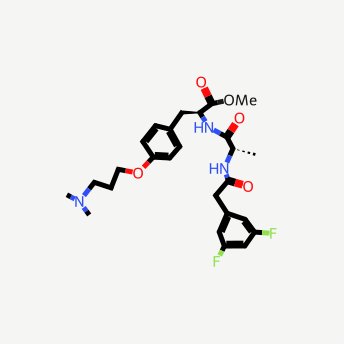 COC(=O)[C@H](Cc1ccc(OCCCN(C)C)cc1)NC(=O)[C@H](C)NC(=O)Cc1cc(F)cc(F)c1